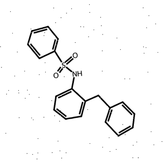 O=S(=O)(Nc1ccccc1Cc1ccccc1)c1ccccc1